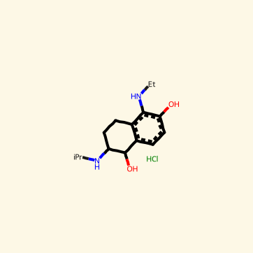 CCNc1c(O)ccc2c1CCC(NC(C)C)C2O.Cl